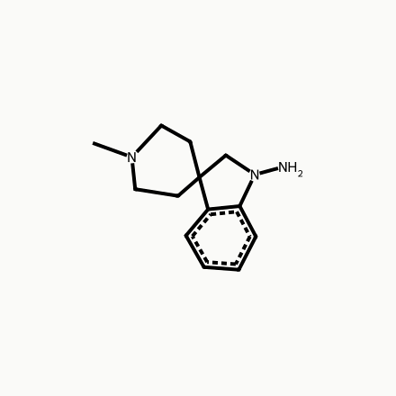 CN1CCC2(CC1)CN(N)c1ccccc12